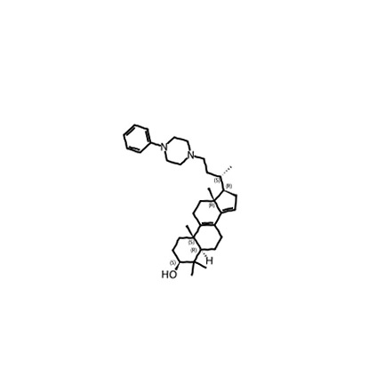 C[C@@H](CCN1CCN(c2ccccc2)CC1)[C@H]1CC=C2C3=C(CC[C@@]21C)[C@@]1(C)CC[C@H](O)C(C)(C)[C@@H]1CC3